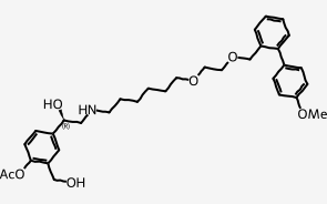 COc1ccc(-c2ccccc2COCCOCCCCCCNC[C@H](O)c2ccc(OC(C)=O)c(CO)c2)cc1